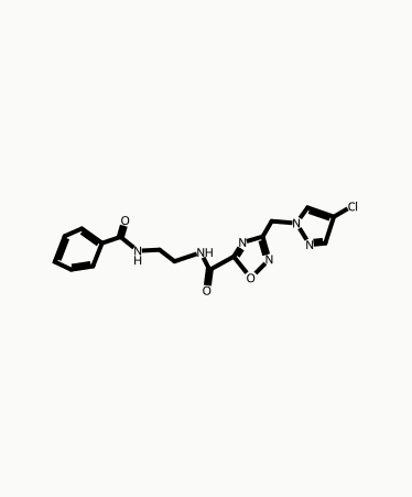 O=C(NCCNC(=O)c1nc(Cn2cc(Cl)cn2)no1)c1ccccc1